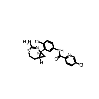 NC1=N[C@]2(c3cc(NC(=O)c4ccc(Cl)cn4)ccc3Cl)C[C@@H]2CCS1